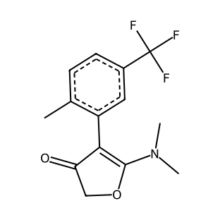 Cc1ccc(C(F)(F)F)cc1C1=C(N(C)C)OCC1=O